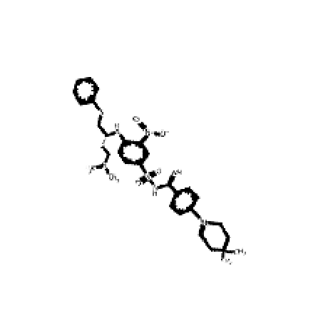 CN(C)CC[C@H](CSc1ccccc1)Nc1ccc(S(=O)(=O)NC(=N)c2ccc(N3CCC(C)(C)CC3)cc2)cc1[N+](=O)[O-]